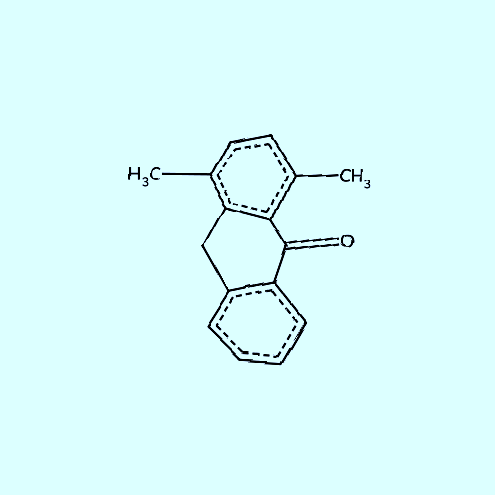 Cc1ccc(C)c2c1Cc1ccccc1C2=O